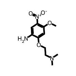 COc1cc(OCCN(C)C)c(N)cc1[N+](=O)[O-]